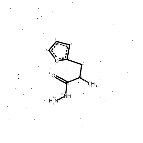 CC(Cc1ccco1)C(=O)NN